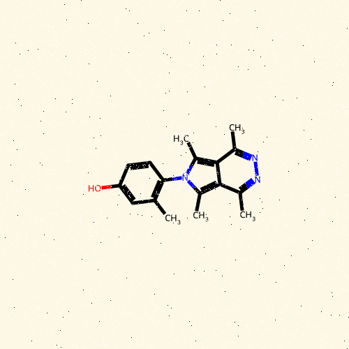 Cc1cc(O)ccc1-n1c(C)c2c(C)nnc(C)c2c1C